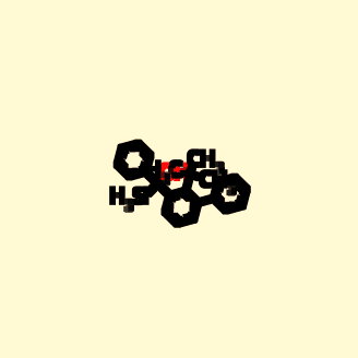 CC(C)(C)c1c(-c2ccccc2)cccc1C(O)([SiH3])c1ccccc1